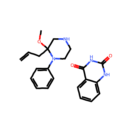 C=CCC1(OC)CNCCN1c1ccccc1.O=c1[nH]c(=O)c2ccccc2[nH]1